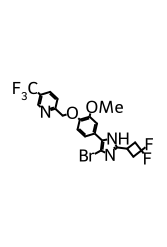 COc1cc(-c2[nH]c(C3CC(F)(F)C3)nc2Br)ccc1OCc1ccc(C(F)(F)F)cn1